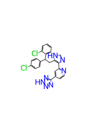 Clc1ccc(C(Cc2[nH]cnc2-c2cc(-c3nn[nH]n3)ccn2)c2ccccc2Cl)cc1